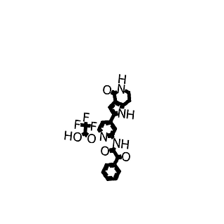 O=C(Nc1cc(-c2cc3c([nH]2)CCNC3=O)ccn1)C(=O)c1ccccc1.O=C(O)C(F)(F)F